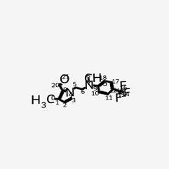 Cc1ccn(CCN(C)c2ccc(C(F)(F)F)cc2)c1C=O